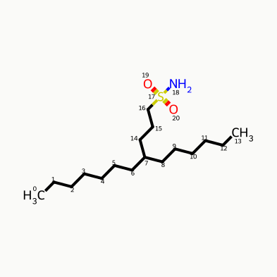 CCCCCCCC(CCCCCC)CCCS(N)(=O)=O